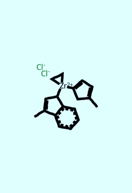 CC1=CC=[C]([Zr+2]2([CH]3C=C(C)c4ccccc43)[CH2][CH2]2)C1.[Cl-].[Cl-]